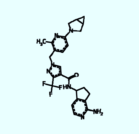 Cc1nc(N2CC3CC3C2)ccc1Cn1cc(C(=O)NC2CCc3c2ccnc3N)c(C(F)(F)F)n1